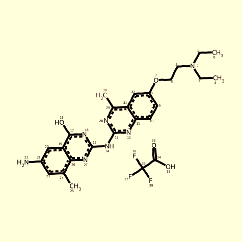 CCN(CC)CCOc1ccc2nc(Nc3nc(O)c4cc(N)cc(C)c4n3)nc(C)c2c1.O=C(O)C(F)(F)F